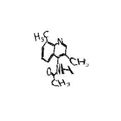 CC(=O)Nc1c(C)cnc2c(C)cccc12